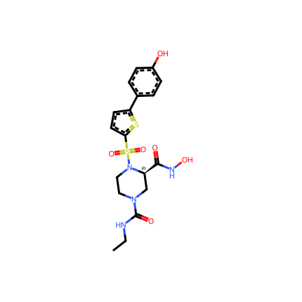 CCNC(=O)N1CCN(S(=O)(=O)c2ccc(-c3ccc(O)cc3)s2)[C@@H](C(=O)NO)C1